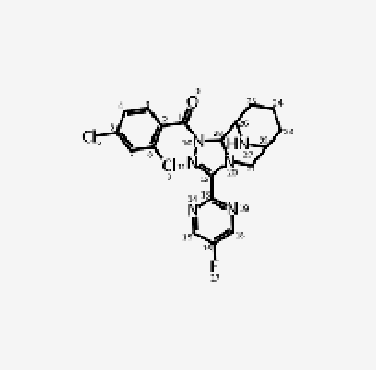 O=C(c1ccc(Cl)cc1Cl)N1N=C(c2ncc(F)cn2)N2CC3CCCC(N3)C21